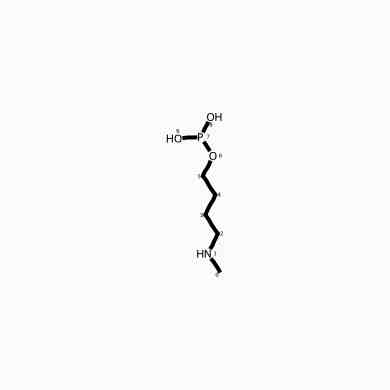 CNCCCCOP(O)O